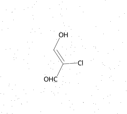 O=C/C(Cl)=C/O